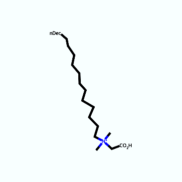 CCCCCCCCCCCCCCCCCCCCCC[N+](C)(C)CC(=O)O